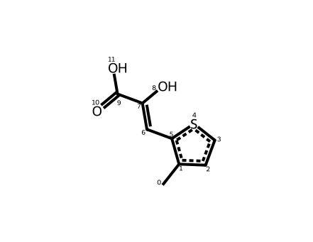 Cc1ccsc1C=C(O)C(=O)O